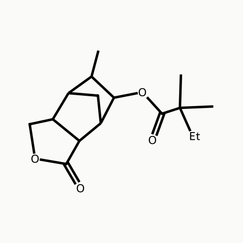 CCC(C)(C)C(=O)OC1C(C)C2CC1C1C(=O)OCC21